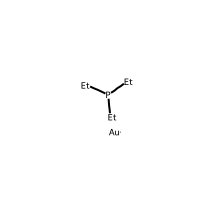 CCP(CC)CC.[Au]